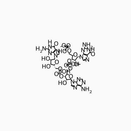 CO[C@@H]1[C@H](OP(=O)(O)OC[C@H]2OC(n3cnc4c(N)ncnc43)[C@H](O)[C@@H]2OP(=O)(O)OC[C@H]2OC(n3cnc4c(=O)[nH]c(N)nc43)[C@H](O)[C@@H]2O)C(COP(=O)(O)OC)O[C@H]1n1cnc2c(=O)[nH]c(N)nc21